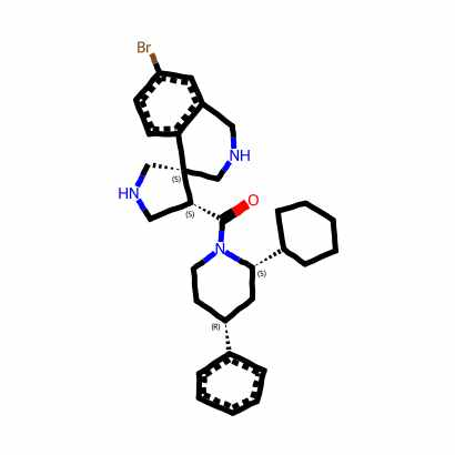 O=C([C@@H]1CNC[C@]12CNCc1cc(Br)ccc12)N1CC[C@@H](c2ccccc2)C[C@H]1C1CCCCC1